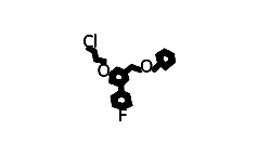 Fc1ccc(-c2cc(CCOCc3ccccc3)cc(OCCCCCl)c2)cc1